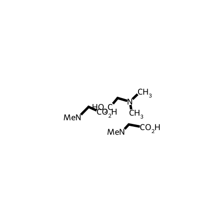 CN(C)CC(=O)O.CNCC(=O)O.CNCC(=O)O